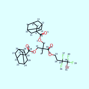 CC(COC(=O)C12CC3CC(CC(C3)C1)C2)(COC(=O)C12CC3CC(CC(C3)C1)C2)C(=O)OCCC(F)(F)C(F)(F)Br